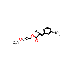 CC(=O)/C(=C\c1cccc([N+](=O)[O-])c1)C(=O)OCCCO[N+](=O)[O-]